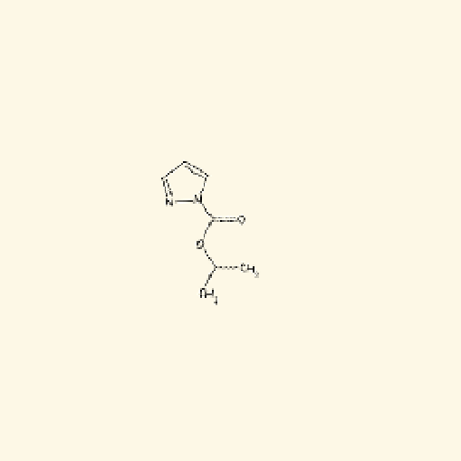 CC(C)OC(=O)n1cccn1